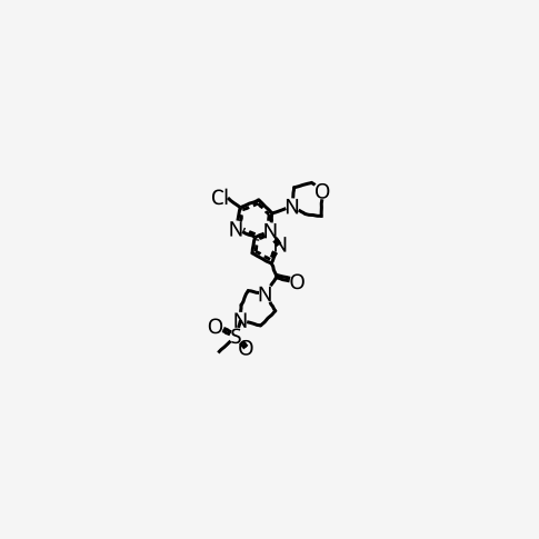 CS(=O)(=O)N1CCN(C(=O)c2cc3nc(Cl)cc(N4CCOCC4)n3n2)CC1